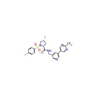 O=C(NCc1cncc(-c2cnc(C(F)(F)F)nc2)c1)[C@@H]1C[C@@H](F)CN1S(=O)(=O)c1ccc(F)cc1